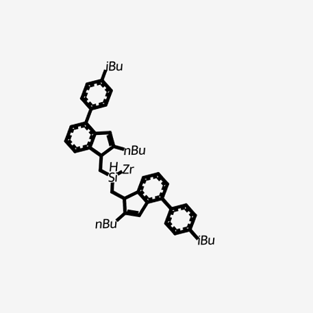 CCCCC1=Cc2c(-c3ccc(C(C)CC)cc3)cccc2C1C[SiH]([Zr])CC1C(CCCC)=Cc2c(-c3ccc(C(C)CC)cc3)cccc21